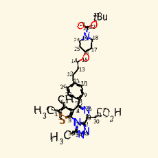 Cc1sc2c(c1C)C(c1ccc(CCCOC3CCN(C(=O)OC(C)(C)C)CC3)cc1)=N[C@@H](CC(=O)O)c1nnc(C)n1-2